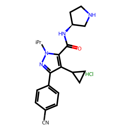 CC(C)n1nc(-c2ccc(C#N)cc2)c(C2CC2)c1C(=O)N[C@H]1CCNC1.Cl